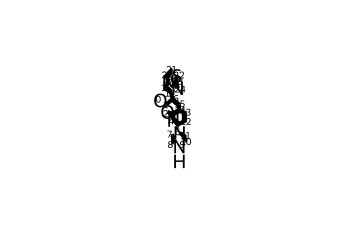 O=c1oc2nc(N3CCNCC3)ccc2cc1-c1cn2ccsc2n1